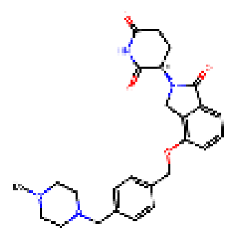 CCN1CCN(Cc2ccc(COc3cccc4c3CN([C@@H]3CCC(=O)NC3=O)C4=O)cc2)CC1